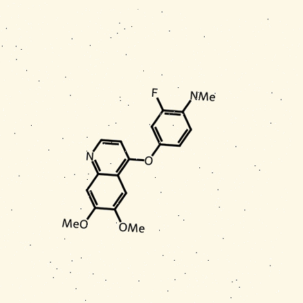 CNc1ccc(Oc2ccnc3cc(OC)c(OC)cc23)cc1F